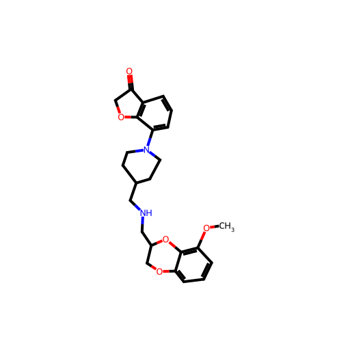 COc1cccc2c1OC(CNCC1CCN(c3cccc4c3OCC4=O)CC1)CO2